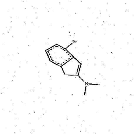 CN(C)C1=Cc2c(Br)cccc2C1